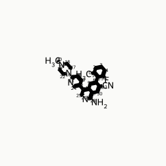 Cc1cccc(F)c1-c1cc2c(-c3ccc(N4CCN(C)CC4)nc3)cnc(N)c2cc1C#N